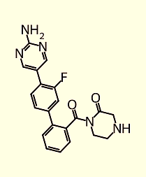 Nc1ncc(-c2ccc(-c3ccccc3C(=O)N3CCNCC3=O)cc2F)cn1